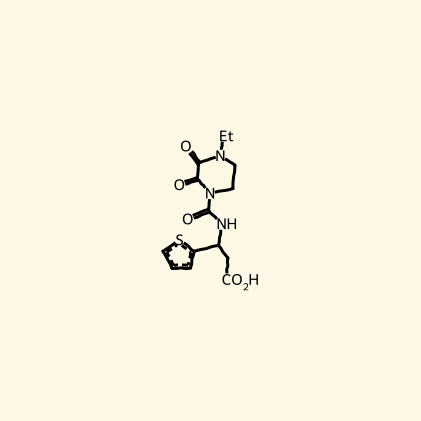 CCN1CCN(C(=O)NC(CC(=O)O)c2cccs2)C(=O)C1=O